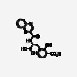 O=C(N[C@@H](Cc1cccc(C(=O)O)c1O)B(O)O)c1cnc2ccccc2n1